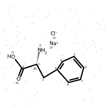 N[C@H](Cc1ccccc1)C(=O)O.[Cl-].[Na+]